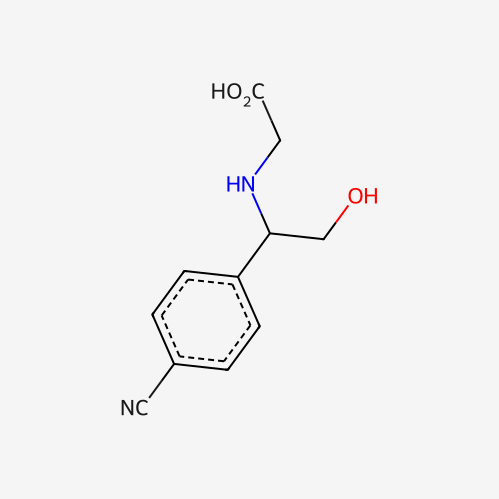 N#Cc1ccc(C(CO)NCC(=O)O)cc1